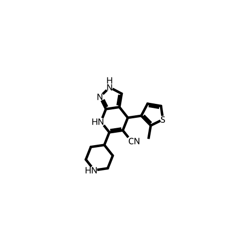 Cc1sccc1C1C(C#N)=C(C2CCNCC2)Nc2n[nH]cc21